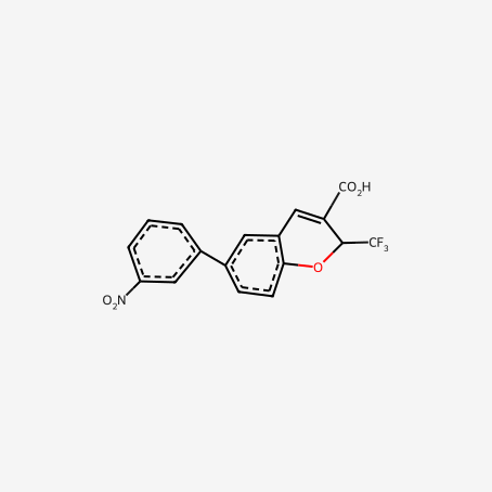 O=C(O)C1=Cc2cc(-c3cccc([N+](=O)[O-])c3)ccc2OC1C(F)(F)F